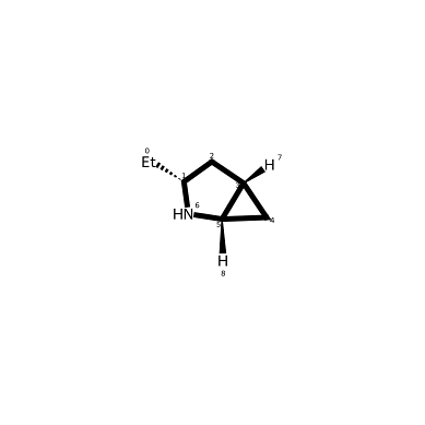 CC[C@@H]1C[C@@H]2C[C@@H]2N1